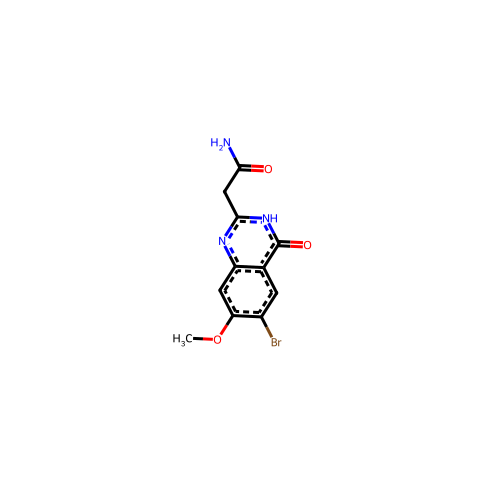 COc1cc2nc(CC(N)=O)[nH]c(=O)c2cc1Br